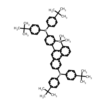 CC(C)(C)c1ccc(B(c2ccc(C(C)(C)C)cc2)c2ccc3c(c2)[Si](C)(C)c2cccc4c2c-3cc2ccc(B(c3ccc(C(C)(C)C)cc3)c3ccc(C(C)(C)C)cc3)cc24)cc1